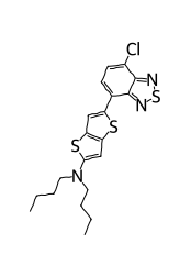 CCCCN(CCCC)c1cc2sc(-c3ccc(Cl)c4nsnc34)cc2s1